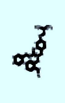 CC(C)COc1ccc(CN(Cc2ccccc2C=O)C(=O)OCc2ccccc2)cc1